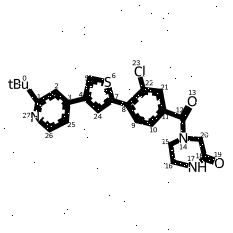 CC(C)(C)c1cc(-c2csc(-c3ccc(C(=O)N4CCNC(=O)C4)cc3Cl)c2)ccn1